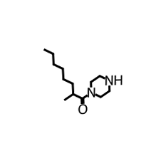 CCCCCCC(C)C(=O)N1CCNCC1